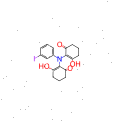 O=C1CCCC(O)=C1N(C1=C(O)CCCC1=O)c1cccc(I)c1